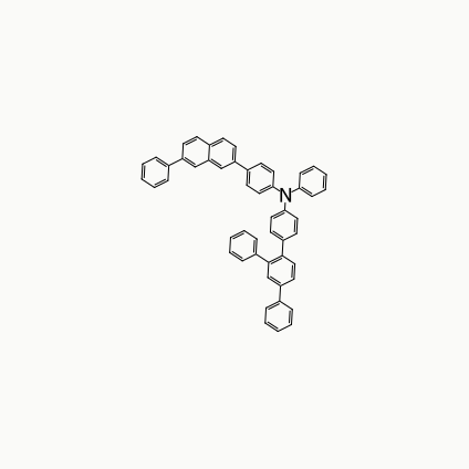 c1ccc(-c2ccc(-c3ccc(N(c4ccccc4)c4ccc(-c5ccc6ccc(-c7ccccc7)cc6c5)cc4)cc3)c(-c3ccccc3)c2)cc1